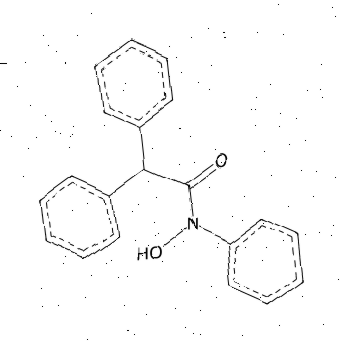 O=C(C(c1ccccc1)c1ccccc1)N(O)c1ccccc1